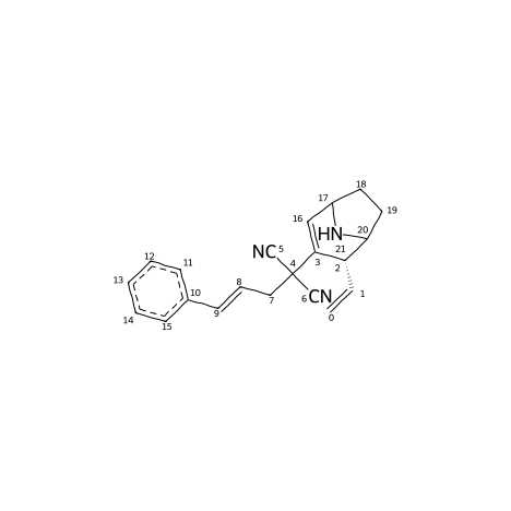 C=C[C@@H]1C(C(C#N)(C#N)C/C=C/c2ccccc2)=CC2CCC1N2